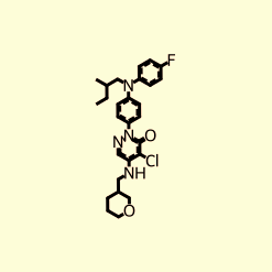 CCC(C)CN(c1ccc(F)cc1)c1ccc(-n2ncc(NCC3CCCOC3)c(Cl)c2=O)cc1